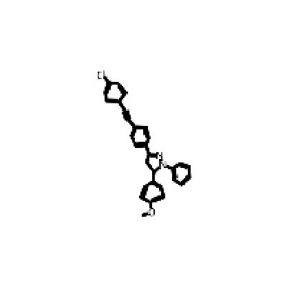 COc1ccc(C2CC(c3ccc(C#Cc4ccc(Cl)cc4)cc3)=NN2c2ccccc2)cc1